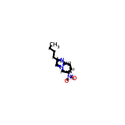 CCCCc1cn2cc([N+](=O)[O-])ccc2n1